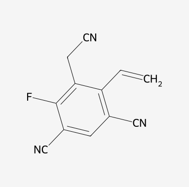 C=Cc1c(C#N)cc(C#N)c(F)c1CC#N